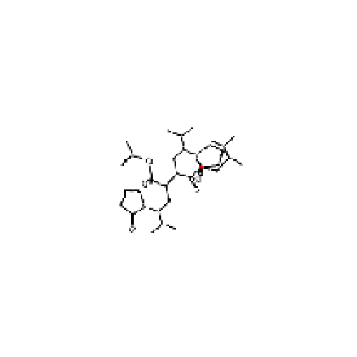 CC(C)OC(=O)C(CC(C(C)C)N1CCCC1=O)C(CC(C(C)C)N1CCCC1=O)C(=O)OCC(C)C(C)C